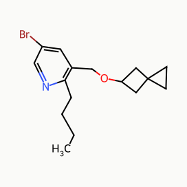 CCCCc1ncc(Br)cc1COC1CC2(CC2)C1